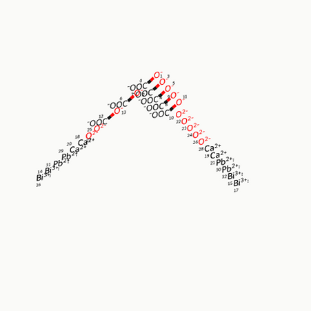 O=C([O-])[O-].O=C([O-])[O-].O=C([O-])[O-].O=C([O-])[O-].O=C([O-])[O-].O=C([O-])[O-].O=C([O-])[O-].[Bi+3].[Bi+3].[Bi+3].[Bi+3].[Ca+2].[Ca+2].[Ca+2].[Ca+2].[O-2].[O-2].[O-2].[O-2].[O-2].[O-2].[O-2].[Pb+2].[Pb+2].[Pb+2].[Pb+2]